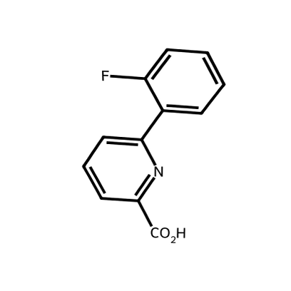 O=C(O)c1cccc(-c2ccccc2F)n1